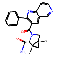 NC(=O)[C@@H]1[C@H]2C[C@H]2CN1C(=O)c1cc2cnccc2nc1-c1ccccc1